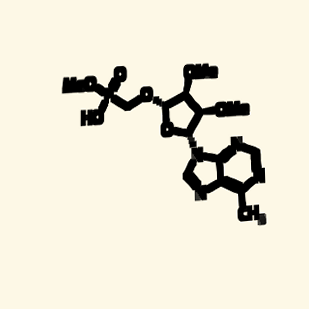 CO[C@@H]1[C@@H](OCP(=O)(O)OC)O[C@@H](n2cnc3c(C)ncnc32)[C@@H]1OC